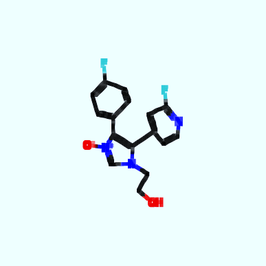 [O-][n+]1cn(CCO)c(-c2ccnc(F)c2)c1-c1ccc(F)cc1